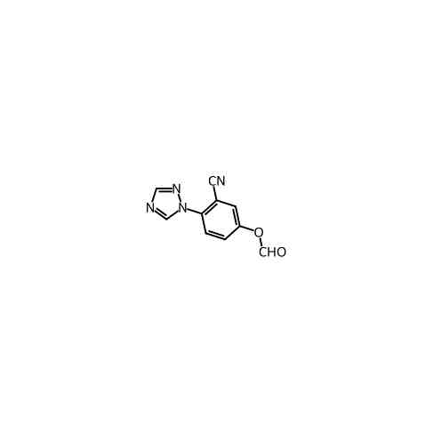 N#Cc1cc(OC=O)ccc1-n1cncn1